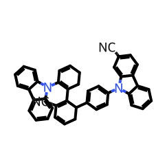 N#CC1=C(C2=C(n3c4ccccc4c4ccccc43)C=CCC2)C(c2ccc(-n3c4ccccc4c4ccc(C#N)cc43)cc2)CC=C1